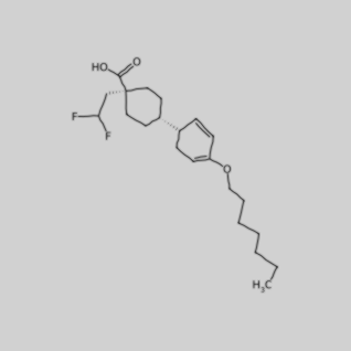 CCCCCCCOC1=CCC([C@H]2CC[C@](CC(F)F)(C(=O)O)CC2)C=C1